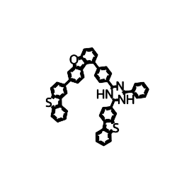 c1ccc(C2=NC(c3ccc(-c4cccc5oc6cc(-c7ccc8sc9ccccc9c8c7)ccc6c45)cc3)NC(c3ccc4c(c3)sc3ccccc34)N2)cc1